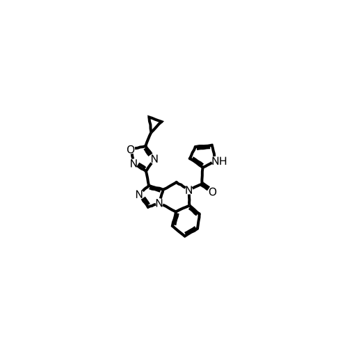 O=C(c1ccc[nH]1)N1Cc2c(-c3noc(C4CC4)n3)ncn2-c2ccccc21